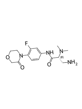 CN(C)[C@H](CN)C(=O)Nc1ccc(N2CCOCC2=O)c(F)c1